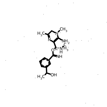 CN[C@H](OC(=N)c1cccc(C(C)O)c1)C1=C(N)N(C)CC(C)=N1